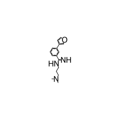 CN(C)CCCNC(=N)c1cccc(-c2ccoc2)c1